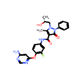 Cc1c(C(=O)Nc2ccc(Oc3cc(N)ncn3)c(F)c2)c(=O)n(-c2ccccc2)n1C[C@@H](C)O